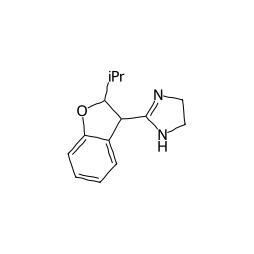 CC(C)C1Oc2ccccc2C1C1=NCCN1